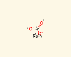 O=C([O-])[O-].[Ra+2]